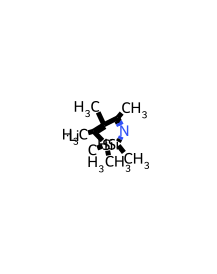 CC1=N[SiH](C)[Si](C)(C)C(C)=C1C.[Li]